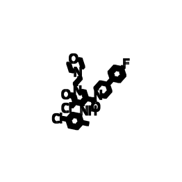 Cc1ccc(Cl)cc1Nc1c(C(=O)N2CCC(c3ccc(F)cc3)CC2)cn(CCN2CCOCC2)c(=O)c1Cl